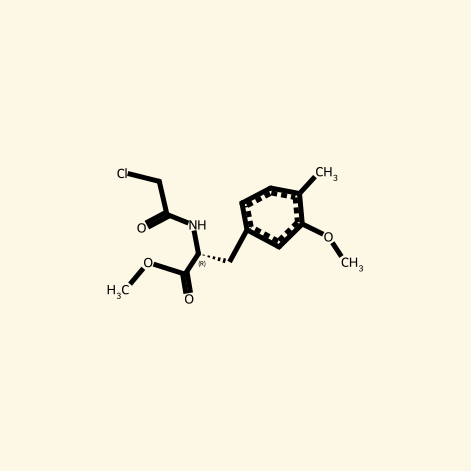 COC(=O)[C@@H](Cc1ccc(C)c(OC)c1)NC(=O)CCl